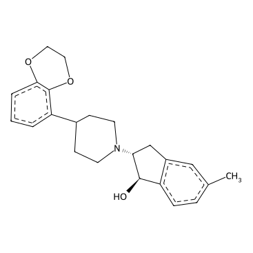 Cc1ccc2c(c1)C[C@@H](N1CCC(c3cccc4c3OCCO4)CC1)[C@@H]2O